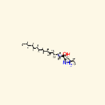 CCCCCCCCCCCCC/C=C/[C@@H](O)[C@@H](N)CCCC